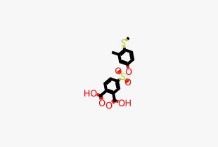 CSc1ccc(OS(=O)(=O)c2ccc(C(=O)O)c(C(=O)O)c2)cc1C